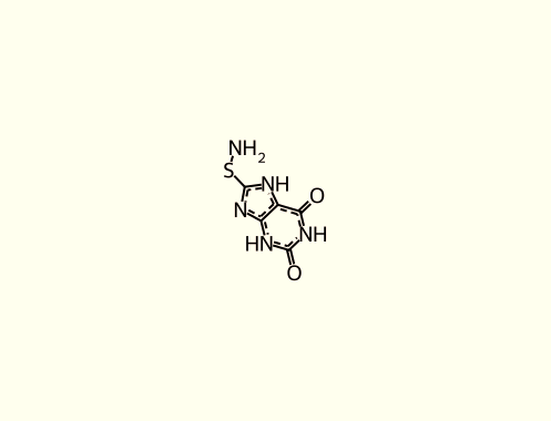 NSc1nc2[nH]c(=O)[nH]c(=O)c2[nH]1